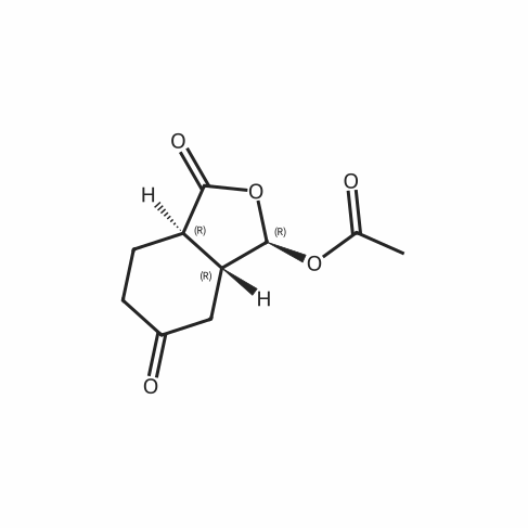 CC(=O)O[C@@H]1OC(=O)[C@@H]2CCC(=O)C[C@@H]12